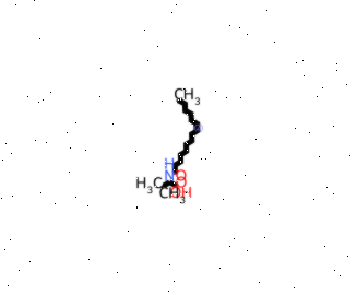 CCCCCC/C=C\CCCCCCCC(=O)NC(C(=O)O)C(C)C